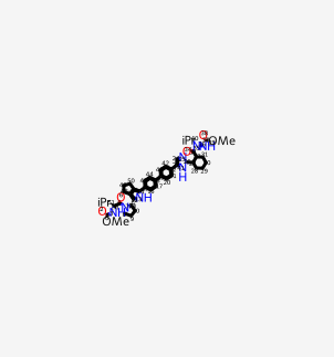 COC(=O)N[C@H](C(=O)N1CCC[C@H]1c1[nH]c(-c2ccc(-c3ccc(-c4cnc(C5CCCCC5C(=O)N(NC(=O)OC)C(C)C)[nH]4)cc3)cc2)c2c1CCC2)C(C)C